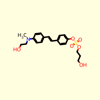 CN(CCO)c1ccc(/C=C/c2ccc(OS(=O)(=O)OCCCO)cc2)cc1